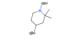 CC(C)(C)C1CCN(C(C)(C)C)C(C)(C)C1